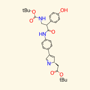 CC(C)(C)OC(=O)C[C@@H]1C=C(c2ccc(NC(=O)C(CNC(=O)OC(C)(C)C)c3ccc(O)cc3)cc2)C=N1